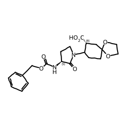 O=C(N[C@H]1CCN(C2CCC3(C[C@H]2C(=O)O)OCCO3)C1=O)OCc1ccccc1